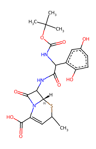 CC1C=C(C(=O)O)N2C(=O)C(NC(=O)C(NC(=O)OC(C)(C)C)c3cc(O)ccc3O)[C@@H]2S1